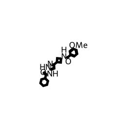 COc1cccc(C(=O)NC2CC(c3cc(NC(=O)C4CCCCC4)[nH]n3)C2)c1